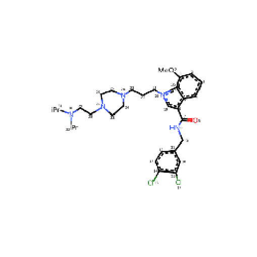 COc1cccc2c(C(=O)NCc3ccc(Cl)c(Cl)c3)cn(CCCN3CCN(CCN(C(C)C)C(C)C)CC3)c12